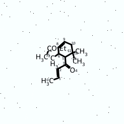 CC=CC(=O)C1C(C)C=CCC1(C)C.CCOC(C)=O